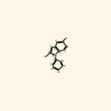 Cc1ccc2c(c1)cc(C)n2-c1ccccc1